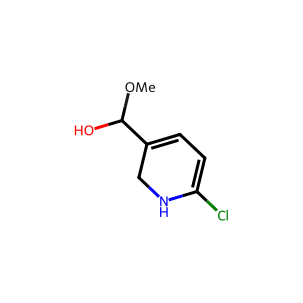 COC(O)C1=CC=C(Cl)NC1